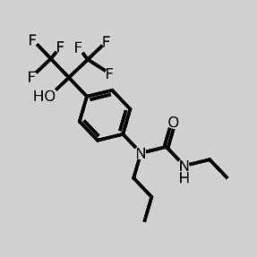 CCCN(C(=O)NCC)c1ccc(C(O)(C(F)(F)F)C(F)(F)F)cc1